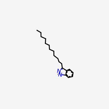 CCCCCCCCCCCCC1=N[N]c2ccccc21